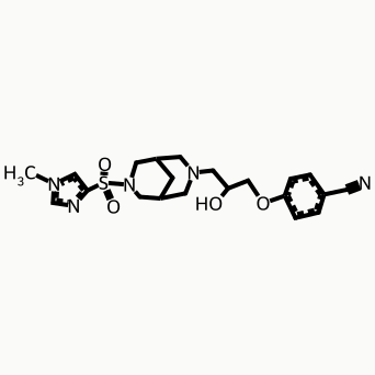 Cn1cnc(S(=O)(=O)N2CC3CC(CN(CC(O)COc4ccc(C#N)cc4)C3)C2)c1